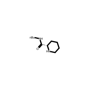 CCCCNC(=O)[C@@H]1CCCCN1